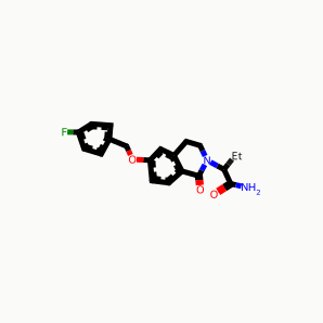 CCC(C(N)=O)N1CCc2cc(OCc3ccc(F)cc3)ccc2C1=O